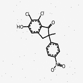 CC1(c2ccc([N+](=O)[O-])cc2)Cc2cc(O)c(Cl)c(Cl)c2C1=O